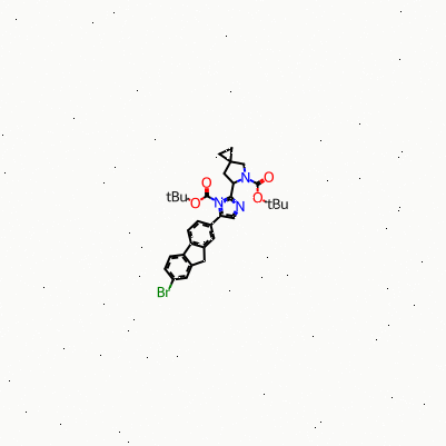 CC(C)(C)OC(=O)N1CC2(CC2)CC1c1ncc(-c2ccc3c(c2)Cc2cc(Br)ccc2-3)n1C(=O)OC(C)(C)C